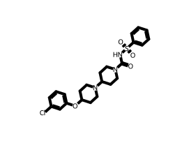 O=C(NS(=O)(=O)c1ccccc1)N1CCC(N2CCC(Oc3cccc(Cl)c3)CC2)CC1